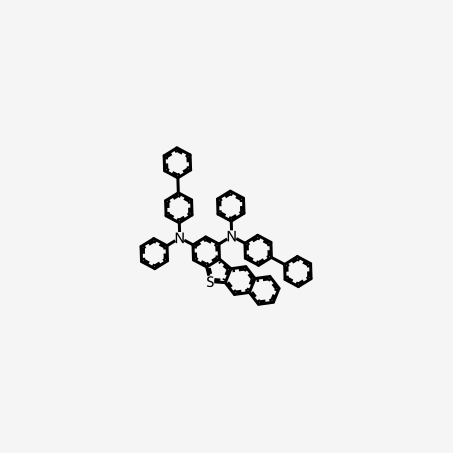 c1ccc(-c2ccc(N(c3ccccc3)c3cc(N(c4ccccc4)c4ccc(-c5ccccc5)cc4)c4c(c3)sc3cc5ccccc5cc34)cc2)cc1